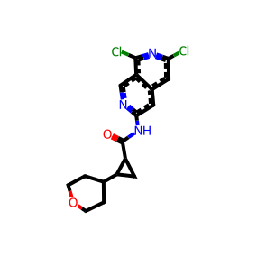 O=C(Nc1cc2cc(Cl)nc(Cl)c2cn1)C1CC1C1CCOCC1